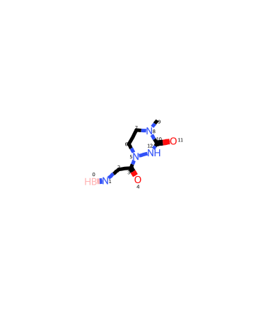 B=NCC(=O)N1CCN(C)C(=O)N1